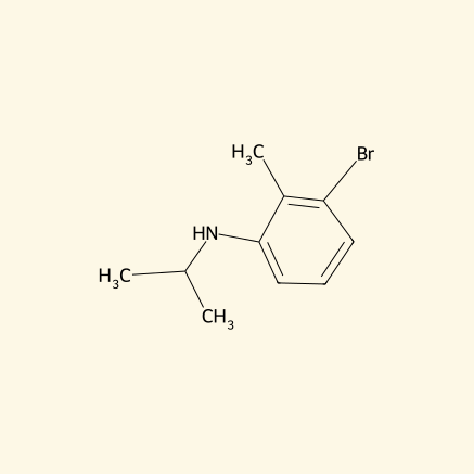 Cc1c(Br)cccc1NC(C)C